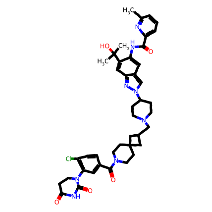 Cc1cccc(C(=O)Nc2cc3cn(C4CCN(CC5CC6(CCN(C(=O)c7ccc(Cl)c(N8CCC(=O)NC8=O)c7)CC6)C5)CC4)nc3cc2C(C)(C)O)n1